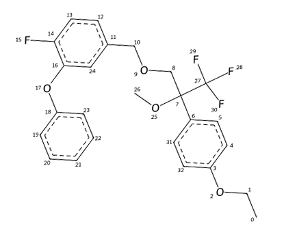 CCOc1ccc(C(COCc2ccc(F)c(Oc3ccccc3)c2)(OC)C(F)(F)F)cc1